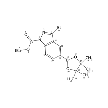 CCc1nn(C(=O)OC(C)(C)C)c2ccc(B3OC(C)(C)C(C)(C)O3)cc12